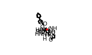 N=C1N[C@H]2C(CN3C(=O)CCC3=O)NC(=N)N3CC(OC(=O)N4CCC(c5ccccc5)C4)C(O)(O)[C@]23N1